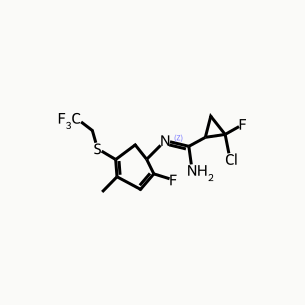 CC1=C(SCC(F)(F)F)CC(/N=C(\N)C2CC2(F)Cl)C(F)=C1